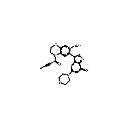 CC#CC(=O)N1CCOc2cc(OC)c(-c3csc4c(=O)cc(N5CCOCC5)oc34)cc21